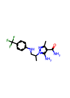 Cc1nn(C(C)CNc2ccc(C(F)(F)F)cc2)c(N)c1C(N)=O